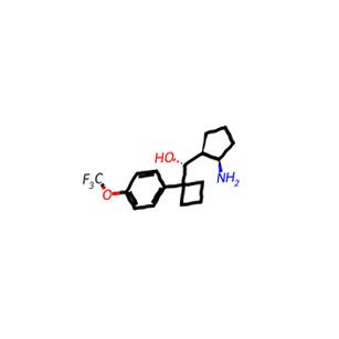 N[C@@H]1CCC[C@@H]1[C@@H](O)C1(c2ccc(OC(F)(F)F)cc2)CCC1